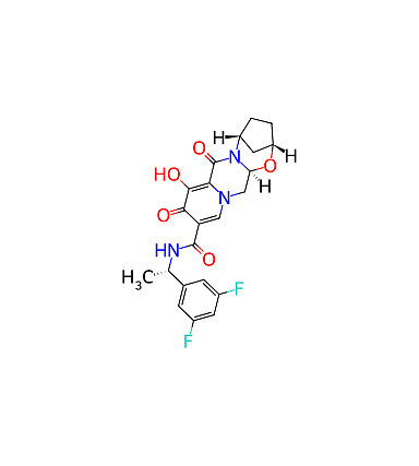 C[C@H](NC(=O)c1cn2c(c(O)c1=O)C(=O)N1[C@@H]3CC[C@@H](C3)O[C@H]1C2)c1cc(F)cc(F)c1